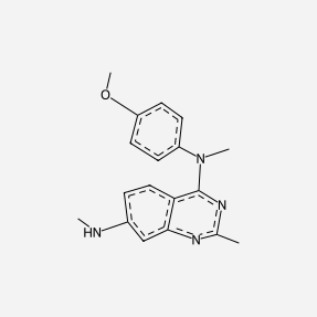 CNc1ccc2c(N(C)c3ccc(OC)cc3)nc(C)nc2c1